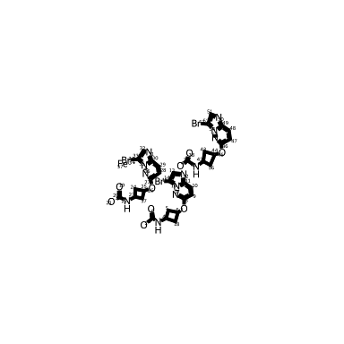 O=C([O-])NC1CC(Oc2ccc3ncc(Br)n3n2)C1.O=C([O-])NC1CC(Oc2ccc3ncc(Br)n3n2)C1.O=C([O-])NC1CC(Oc2ccc3ncc(Br)n3n2)C1.[Fe+3]